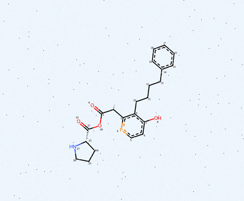 O=C(Cc1pccc(O)c1CCCCc1ccccc1)OC(=O)[C@@H]1CCCN1